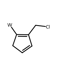 ClCC1=[C]([W])CC=C1